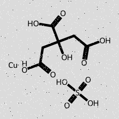 O=C(O)CC(O)(CC(=O)O)C(=O)O.O=S(=O)(O)O.[Cu]